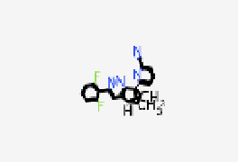 CC1(C)[C@H]2CC[C@@]1(c1cccc(C#N)n1)c1nnc(-c3c(F)cccc3F)cc12